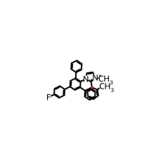 Cc1ccccc1-c1n(-c2c(-c3ccccc3)cc(-c3ccc(F)cc3)cc2-c2ccccc2)cc[n+]1C